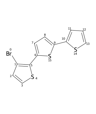 Brc1ccsc1-c1ccc(-c2cccs2)s1